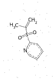 C=C(C)S(=O)(=O)c1cc[c]cn1